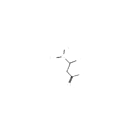 C=C(F)CC(F)N(C)C(C)C